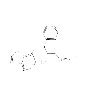 [N-]=[N+]=NC[C@H](O)[C@H](Oc1cccc2ccoc12)c1ccccc1